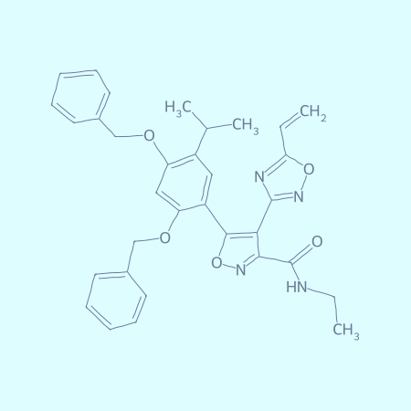 C=Cc1nc(-c2c(C(=O)NCC)noc2-c2cc(C(C)C)c(OCc3ccccc3)cc2OCc2ccccc2)no1